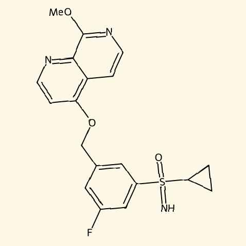 COc1nccc2c(OCc3cc(F)cc(S(=N)(=O)C4CC4)c3)ccnc12